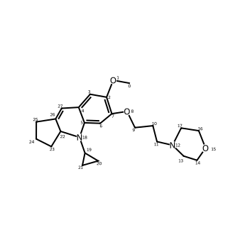 COc1cc2c(cc1OCCCN1CCOCC1)N(C1CC1)C1CCCC1=C2